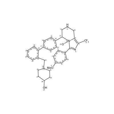 COc1ccc(C2=NC(C(F)(F)F)=C3CNCC(c4ccc(-c5ccccc5CN5CCC(O)CC5)cc4)[N+]23[O-])cc1